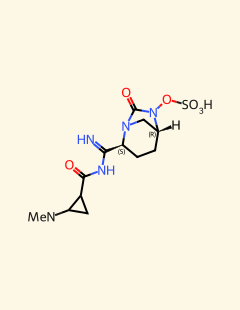 CNC1CC1C(=O)NC(=N)[C@@H]1CC[C@@H]2CN1C(=O)N2OS(=O)(=O)O